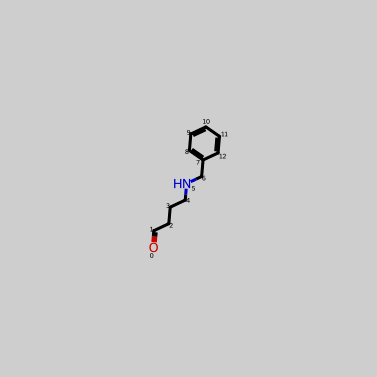 O=CCCCNCc1ccccc1